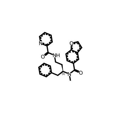 CN(C(=O)c1ccc2occc2c1)[C@H](CCNC(=O)c1ccccn1)Cc1ccccc1